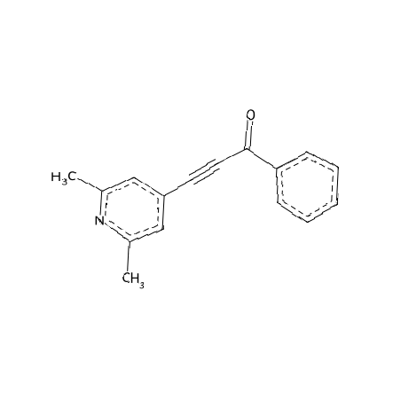 Cc1cc(C#CC(=O)c2ccccc2)cc(C)n1